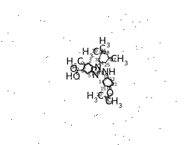 Cc1cc2c(cc1C(=O)O)nc(Nc1ccc(OC(C)C)cc1)n2[C@@H]1C[C@H](C)CC(C)(C)C1